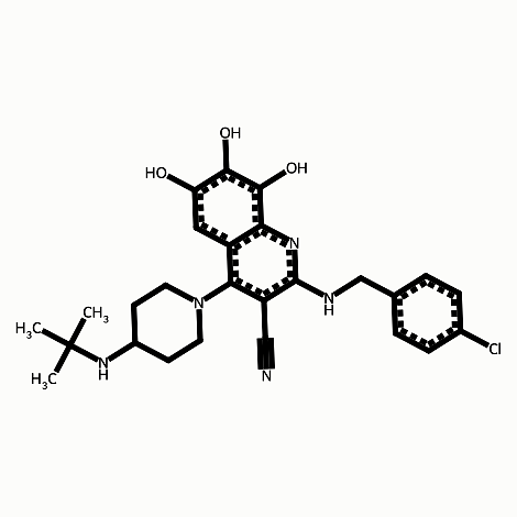 CC(C)(C)NC1CCN(c2c(C#N)c(NCc3ccc(Cl)cc3)nc3c(O)c(O)c(O)cc23)CC1